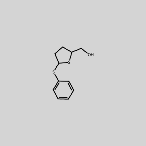 OCC1CCC(Sc2ccccc2)S1